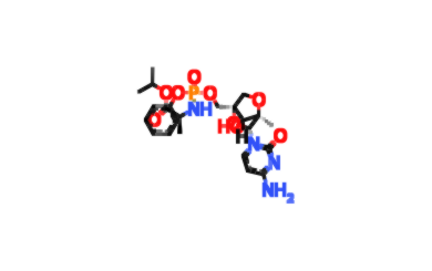 CC(C)OC(=O)[C@H](C)NP(=O)(OC[C@]12CO[C@](C)([C@@H]1O)[C@H](n1ccc(N)nc1=O)O2)Oc1ccccc1